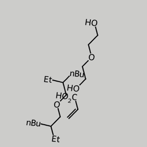 C=CC(=O)O.CCCCC(CC)COCC(CC)CCCC.OCCOCCO